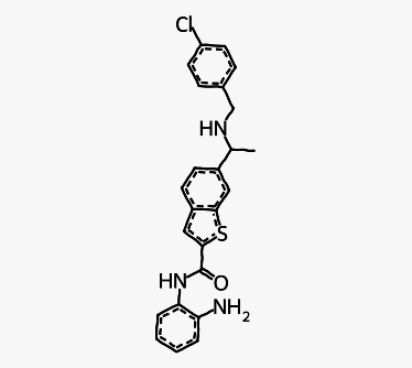 CC(NCc1ccc(Cl)cc1)c1ccc2cc(C(=O)Nc3ccccc3N)sc2c1